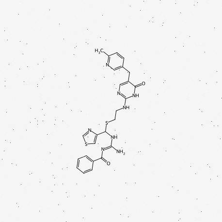 Cc1ccc(Cc2cnc(NCCSC(NC(N)=NC(=O)c3ccccc3)c3cscn3)[nH]c2=O)cn1